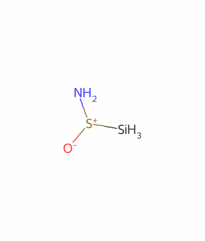 N[S+]([O-])[SiH3]